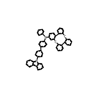 c1ccc(N(c2ccc(-c3ccc(-n4c5ccccc5c5ccccc54)cc3)cc2)c2ccc3c(c2)Cc2ccccc2-c2ccccc2Cc2ccccc2-3)cc1